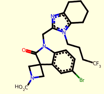 O=C(O)N1CC2(C1)C(=O)N(Cc1nc3c(n1CCCC(F)(F)F)CCCC3)c1ccc(Br)cc12